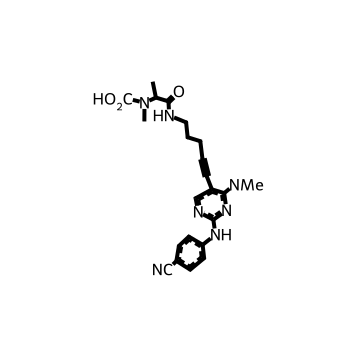 CNc1nc(Nc2ccc(C#N)cc2)ncc1C#CCCCNC(=O)C(C)N(C)C(=O)O